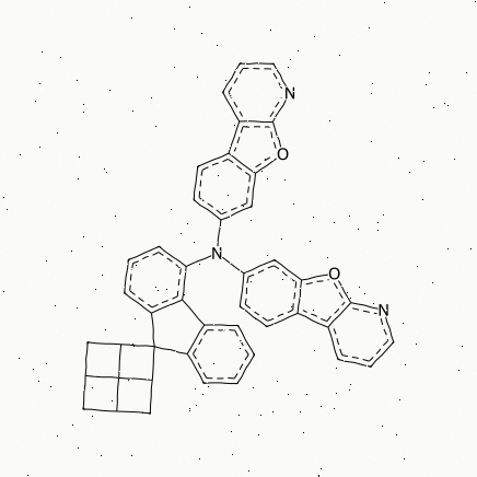 c1ccc2c(c1)-c1c(N(c3ccc4c(c3)oc3ncccc34)c3ccc4c(c3)oc3ncccc34)cccc1C21C2CC3CC4CC1C342